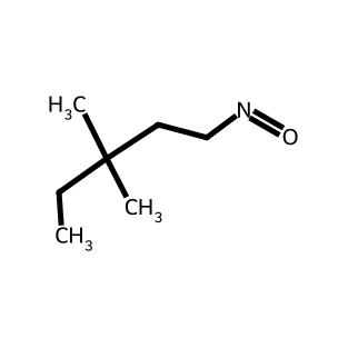 CCC(C)(C)CCN=O